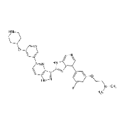 CN(C)CCOc1cc(F)cc(-c2cncc3[nH]c(-c4n[nH]c5ccc(-c6cncc(OC7CCNCC7)c6)nc45)nc23)c1